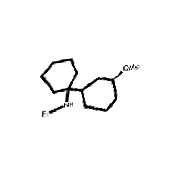 CCNC1(C2CCC[C@H](OC)C2)CCCCC1